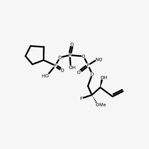 C=C[C@H](O)[C@@](F)(COP(=O)(N=O)OP(=O)(O)OP(=O)(O)C1CCCC1)OC